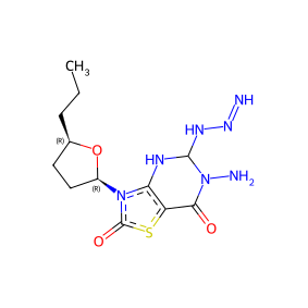 CCC[C@@H]1CC[C@H](n2c3c(sc2=O)C(=O)N(N)C(NN=N)N3)O1